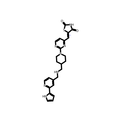 O=C1NC(=O)/C(=C/c2ccnc(N3CCC(CNCc4ccnc(-c5ccc[nH]5)c4)CC3)n2)S1